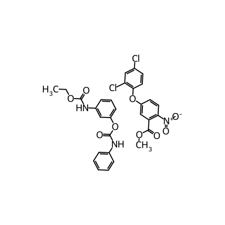 CCOC(=O)Nc1cccc(OC(=O)Nc2ccccc2)c1.COC(=O)c1cc(Oc2ccc(Cl)cc2Cl)ccc1[N+](=O)[O-]